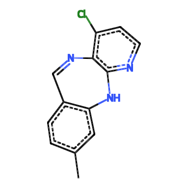 Cc1ccc2c(c1)Nc1nccc(Cl)c1N=C2